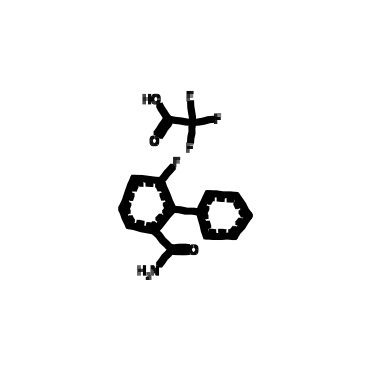 NC(=O)c1cccc(F)c1-c1ccccc1.O=C(O)C(F)(F)F